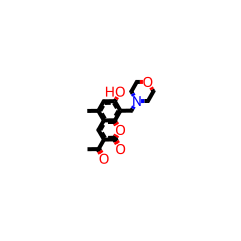 CC(=O)c1cc2c(C)cc(O)c(CN3CCOCC3)c2oc1=O